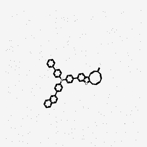 C=C1/C=C\C=C/Cc2oc3cc(-c4ccc(N(c5ccc(-c6ccccc6)cc5)c5ccc(-c6ccc7ccccc7c6)cc5)cc4)ccc3c2/C=C\1